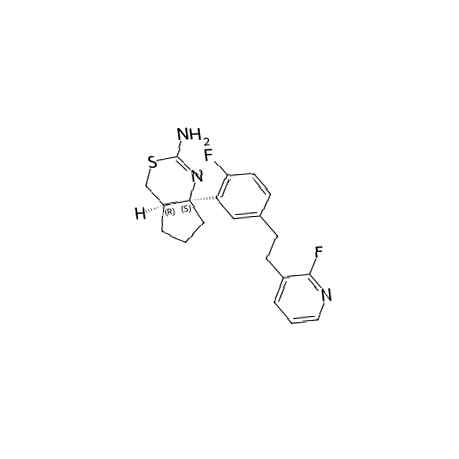 NC1=N[C@@]2(c3cc(CCc4cccnc4F)ccc3F)CCC[C@H]2CS1